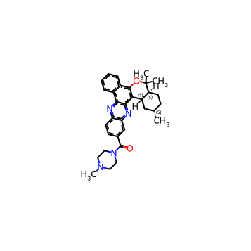 C[C@H]1CC[C@H]2[C@H](C1)c1c(c3ccccc3c3nc4ccc(C(=O)N5CCN(C)CC5)cc4nc13)OC2(C)C